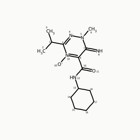 CC(C)c1nn(C)c(=N)c(C(=O)NC2CCCCC2)[n+]1[O-]